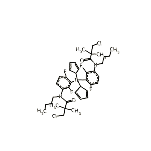 CCCCN(C(=O)C(C)(C)CCl)c1ccc(F)[c]([Ti]([c]2c(F)ccc(N(CCCC)C(=O)C(C)(C)CCl)c2F)([CH]2C=CC=C2)[CH]2C=CC=C2)c1F